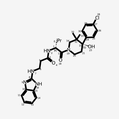 CC(C)[C@@H](NC(=O)CCNc1nc2ccccc2[nH]1)C(=O)N1CC[C@](O)(c2ccc(Cl)cc2)C(C)(C)C1